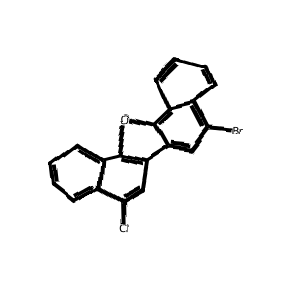 Clc1cc2c3cc(Br)c4ccccc4c3oc2c2ccccc12